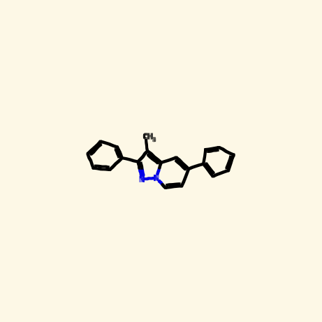 Cc1c(-c2ccccc2)nn2ccc(-c3ccccc3)cc12